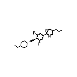 CCCc1cnc(-c2cc(F)c(C#C[C@H]3CC[C@H](CC)CC3)c(F)c2)nc1